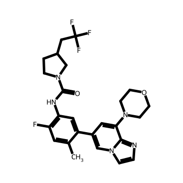 Cc1cc(F)c(NC(=O)N2CCC(CC(F)(F)F)C2)cc1-c1cc(N2CCOCC2)c2nccn2c1